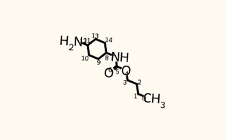 CCCCOC(=O)NC1CCC(N)CC1